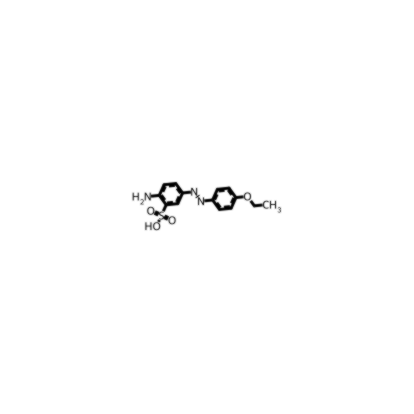 CCOc1ccc(/N=N/c2ccc(N)c(S(=O)(=O)O)c2)cc1